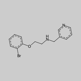 Brc1ccccc1OCCNCc1cccnc1